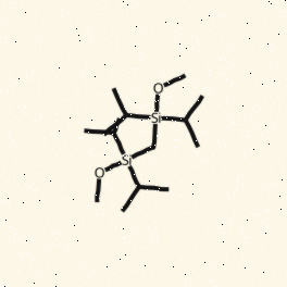 CO[Si](C[Si](OC)(C(C)C)C(C)C)(C(C)C)C(C)C